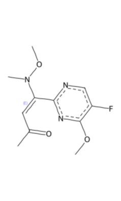 COc1nc(/C(=C\C(C)=O)N(C)OC)ncc1F